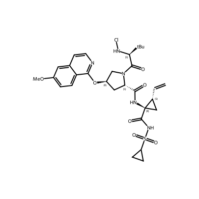 C=C[C@@H]1C[C@]1(NC(=O)[C@@H]1C[C@@H](Oc2nccc3cc(OC)ccc23)CN1C(=O)[C@@H](NCl)C(C)(C)C)C(=O)NS(=O)(=O)C1CC1